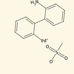 CS(=O)(=O)[O-].Nc1ccccc1-c1cccc[c]1[Pd+]